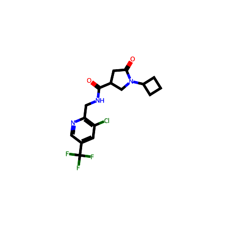 O=C(NCc1ncc(C(F)(F)F)cc1Cl)C1CC(=O)N(C2CCC2)C1